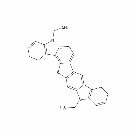 CCn1c2c(c3cc4c(cc31)sc1c4ccc3c1c1c(n3CC)C=CCC1)CCC=C2